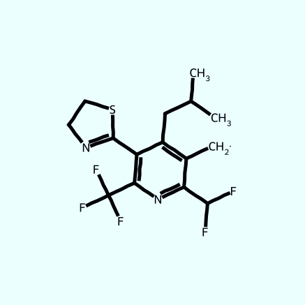 [CH2]c1c(C(F)F)nc(C(F)(F)F)c(C2=NCCS2)c1CC(C)C